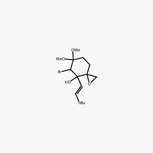 CCCCC=CC1(O)C(Br)C(OC)(OC)CCC12CO2